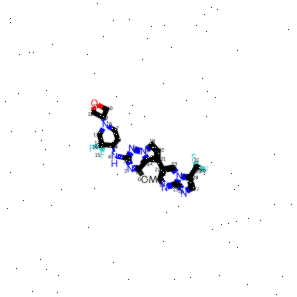 COc1nc(N[C@@H]2CCN(C3COC3)CC2(F)F)nn2ccc(-c3cnc4ncc(C(F)F)n4c3)c12